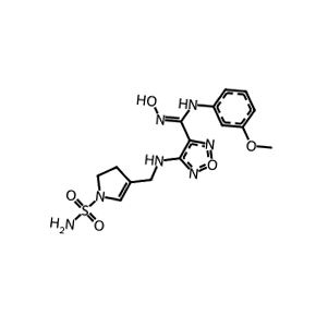 COc1cccc(N/C(=N\O)c2nonc2NCC2=CN(S(N)(=O)=O)CC2)c1